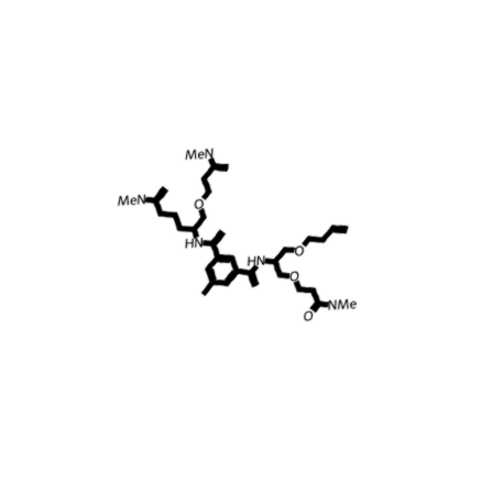 C=CCCOCC(COCCC(=O)NC)NC(=C)c1cc(C)cc(C(=C)NC(CCCC(=C)NC)COCCC(=C)NC)c1